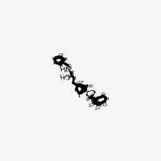 O[C@H]([CH]Cc1ccc(OCc2ccccc2)cc1)CNCc1ccccc1